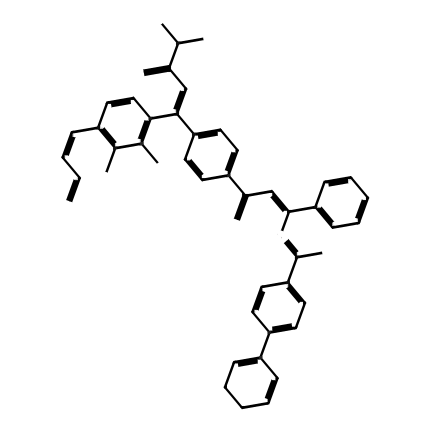 C=C/C=C\c1ccc(/C(=C\C(=C)C(C)C)c2ccc(C(=C)/C=C(\N=C(/C)c3ccc(C4=CCCC=C4)cc3)c3ccccc3)cc2)c(C)c1C